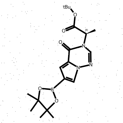 C[C@H](C(=O)OC(C)(C)C)n1cnn2cc(B3OC(C)(C)C(C)(C)O3)cc2c1=O